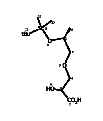 C[C@@H](COCC(O)C(=O)O)O[Si](C)(C)C(C)(C)C